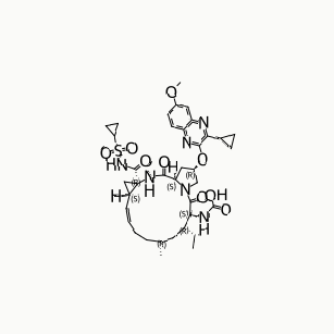 CC[C@@H]1C[C@H](C)CCC=C[C@@H]2C[C@@]2(C(=O)NS(=O)(=O)C2CC2)NC(=O)[C@@H]2C[C@@H](Oc3nc4ccc(OC)cc4nc3C3CC3)CN2C(=O)[C@H]1NC(=O)O